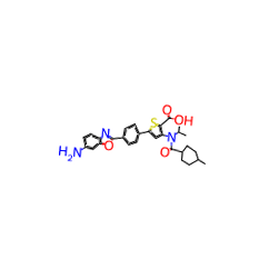 CC1CCC(C(=O)N(c2cc(-c3ccc(-c4nc5ccc(N)cc5o4)cc3)sc2C(=O)O)C(C)C)CC1